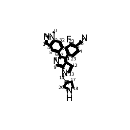 Cn1ncc2cc(-c3ncc4c(ccn4C[C@@H]4CCNC4)c3-c3ccc(C#N)c(F)c3)ccc21